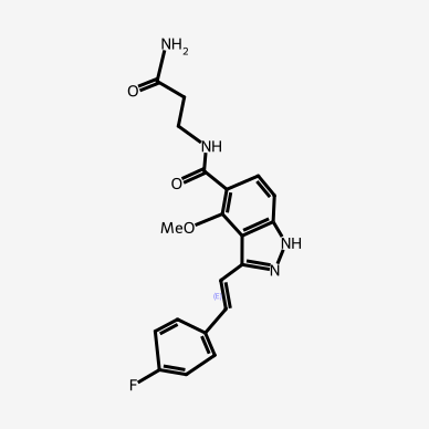 COc1c(C(=O)NCCC(N)=O)ccc2[nH]nc(/C=C/c3ccc(F)cc3)c12